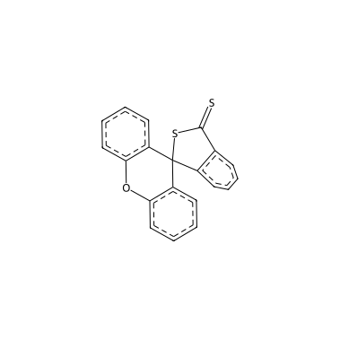 S=C1SC2(c3ccccc3Oc3ccccc32)c2ccccc21